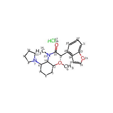 COC1CCCC(N2CCCC2)C1N(C)C(=O)Cc1cccc2occc12.Cl